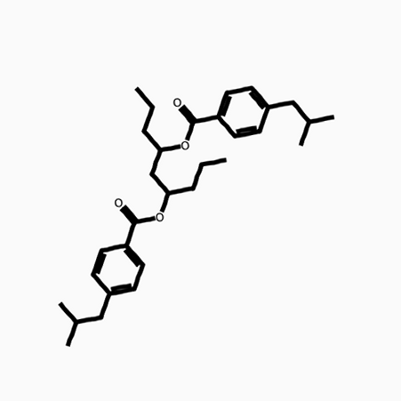 CCCC(CC(CCC)OC(=O)c1ccc(CC(C)C)cc1)OC(=O)c1ccc(CC(C)C)cc1